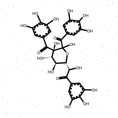 O=C(c1cc(O)c(O)c(O)c1)C(O)[C@H]1OC(O)(C(=O)c2cc(O)c(O)c(O)c2)[C@@](O)(C(=O)c2cc(O)c(O)c(O)c2)[C@@H](O)[C@@H]1O